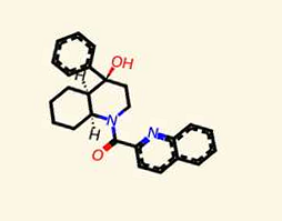 O=C(c1ccc2ccccc2n1)N1CC[C@@](O)(c2ccccc2)[C@@H]2CCCC[C@@H]21